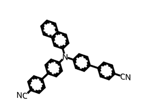 N#Cc1ccc(-c2ccc(N(c3ccc(-c4ccc(C#N)cc4)cc3)c3ccc4ccccc4c3)cc2)cc1